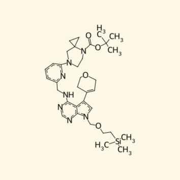 CC(C)(C)OC(=O)N1CCN(c2cccc(CNc3ncnc4c3c(C3=CCOCC3)cn4COCC[Si](C)(C)C)n2)CC12CC2